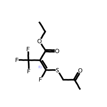 CCOC(=O)/C(=C(/F)SCC(C)=O)C(F)(F)F